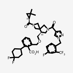 CC1(C)C[C@@H]1C(=O)N1CC2(CN(C(=O)c3cnn(Cc4ccc(F)cc4C(F)(F)F)c3)C[C@H]2COCc2cccc(C3CCC(F)(F)CC3)c2C(=O)O)C1